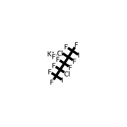 FC(F)(I)C(F)(Cl)C(F)(F)C(F)(Cl)C(F)(F)I.[F-].[K+]